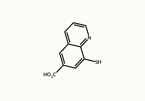 O=C(O)c1cc(S)c2ncccc2c1